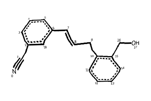 N#Cc1cccc(C=CCc2ccccc2CO)c1